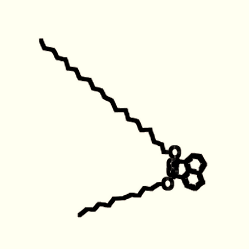 CCCCCCCCCCCCCCCCCCCCCCOC(=O)c1cccc2cccc(C(=O)OCCCCCCCCCCCC)c12